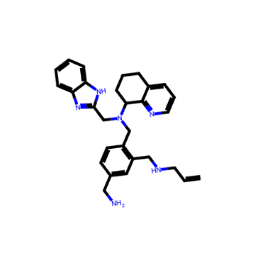 C=CCNCc1cc(CN)ccc1CN(Cc1nc2ccccc2[nH]1)C1CCCc2cccnc21